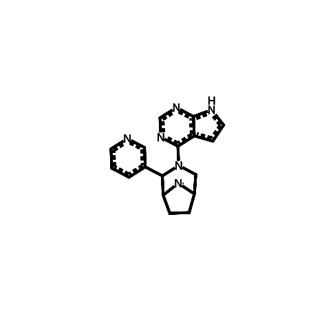 c1cncc(C2C3CCC(CN2c2ncnc4[nH]ccc24)[N]3)c1